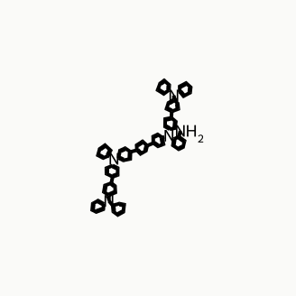 Nc1ccccc1N(c1ccc(-c2ccc(-c3ccc(N(c4ccccc4)c4ccc(-c5ccc(N(c6ccccc6)c6ccccc6)cc5)cc4)cc3)cc2)cc1)c1ccc(-c2ccc(N(c3ccccc3)c3ccccc3)cc2)cc1